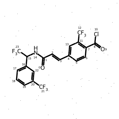 O=C(C=Cc1ccc(C(=O)Cl)c(C(F)(F)F)c1)NC(c1cccc(C(F)(F)F)c1)C(F)(F)F